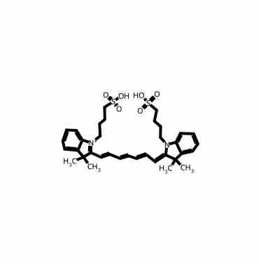 CC1(C)C(/C=C/C=C/C=C/C=C2\N(CCCCS(=O)(=O)O)c3ccccc3C2(C)C)=[N+](CCCCS(=O)(=O)O)c2ccccc21